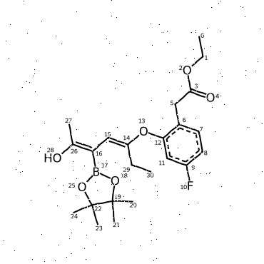 CCOC(=O)Cc1ccc(F)cc1O/C(=C/C(B1OC(C)(C)C(C)(C)O1)=C(\C)O)CC